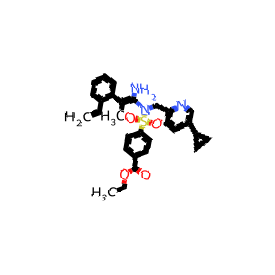 C=Cc1ccccc1/C(C)=C(\N)N(Cc1ccc(C2CC2)cn1)S(=O)(=O)c1ccc(C(=O)OCC)cc1